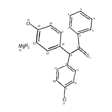 O=C(c1ccccc1)C(c1ccc(Cl)cc1)c1ccc(Cl)cc1.[MgH2]